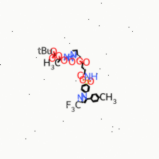 Cc1ccc(-c2cc(C(F)(F)F)nn2-c2ccc(S(=O)(=O)NC(=O)CCC(=O)OC[C@@H]3CCN3[N+]([O-])=NOC(C)OC(=O)OC(C)(C)C)cc2)cc1